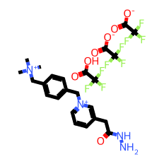 C[N+](C)(C)Cc1ccc(C[n+]2cccc(CC(=O)NN)c2)cc1.O=C(O)C(F)(F)F.O=C([O-])C(F)(F)F.O=C([O-])C(F)(F)F